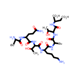 CCC(C)C(N)C(=O)NC(CCC(N)=O)C(=O)NC(C(=O)NC(CCCCN)C(=O)NC(C(=O)NC(C(=O)NC(CC(=O)O)C(=O)O)C(C)O)C(C)CC)C(C)O